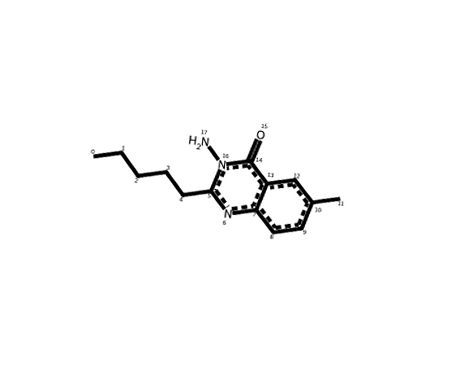 CCCCCc1nc2ccc(C)cc2c(=O)n1N